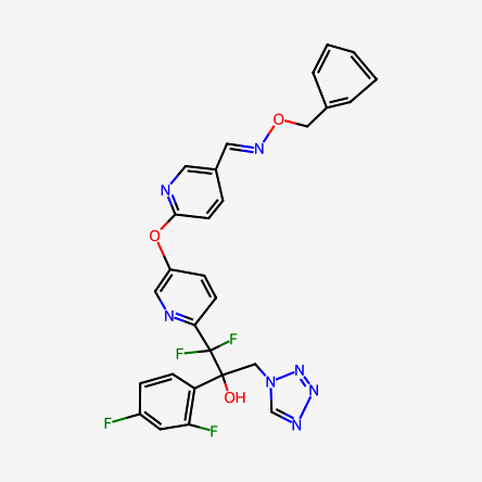 OC(Cn1cnnn1)(c1ccc(F)cc1F)C(F)(F)c1ccc(Oc2ccc(C=NOCc3ccccc3)cn2)cn1